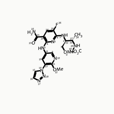 COC[C@@H](Nc1nc(Nc2cnc(OC)c(-n3ccnn3)c2)c(C(N)=O)cc1F)[C@H](C)NC(=O)O